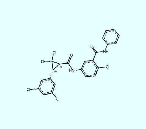 O=C(Nc1ccccc1)c1cc(NC(=O)[C@H]2[C@H](c3cc(Cl)cc(Cl)c3)C2(Cl)Cl)ccc1Cl